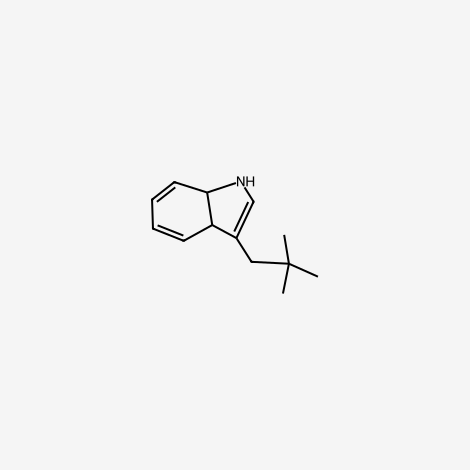 CC(C)(C)CC1=CNC2C=CC=CC12